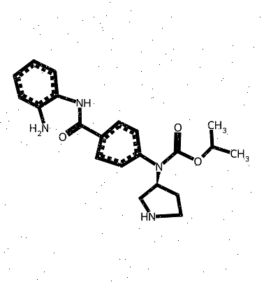 CC(C)OC(=O)N(c1ccc(C(=O)Nc2ccccc2N)cc1)[C@H]1CCNC1